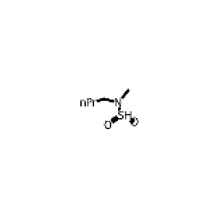 [CH2]CCCN(C)[SH](=O)=O